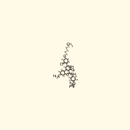 CCCCCCOc1ccc(-c2cc(-c3ccc(C)cc3)c(C(=O)Nc3ccc(OC(F)(F)F)cc3)c(=O)[nH]2)c(Cl)c1